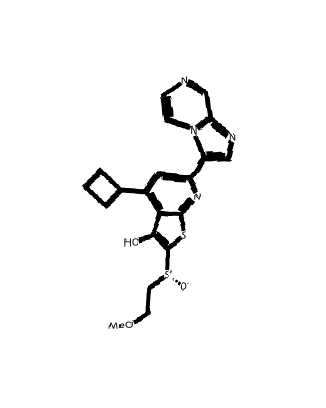 COCC[S@@+]([O-])c1sc2nc(-c3cnc4cnccn34)cc(C3CCC3)c2c1O